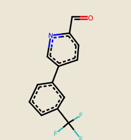 O=Cc1ccc(-c2cccc(C(F)(F)F)c2)cn1